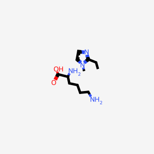 CCc1nccn1C.NCCCCC(N)C(=O)O